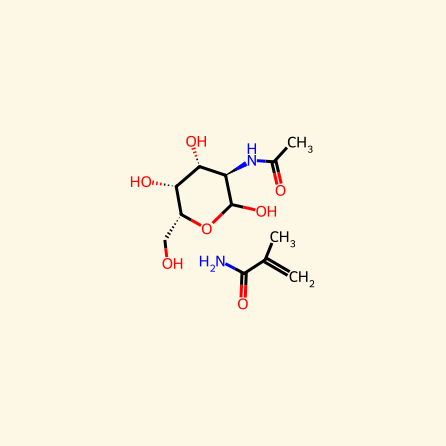 C=C(C)C(N)=O.CC(=O)N[C@H]1C(O)O[C@H](CO)[C@H](O)[C@@H]1O